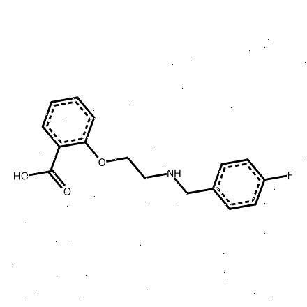 O=C(O)c1ccccc1OCCNCc1ccc(F)cc1